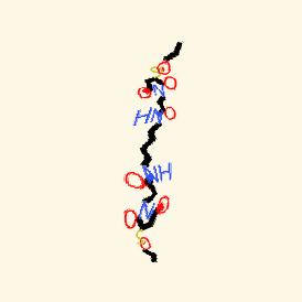 CCCOSC1CC(=O)N(CCC(=O)NCCCCCCNC(=O)CCN2C(=O)CC(SOCCC)C2=O)C1=O